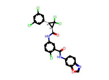 O=C(Nc1ccc2ncoc2c1)c1cc(NC(=O)[C@H]2[C@H](c3cc(Cl)cc(Cl)c3)C2(Cl)Cl)ccc1Cl